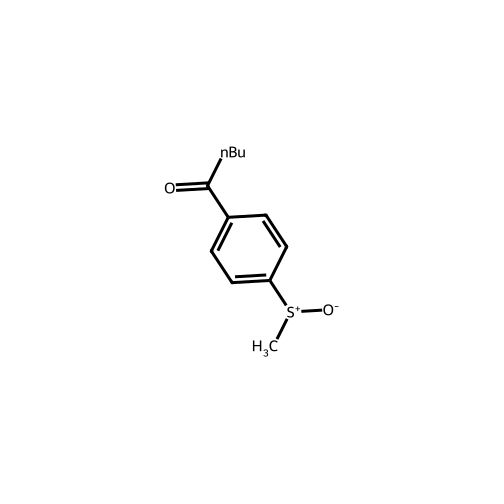 CCCCC(=O)c1ccc([S+](C)[O-])cc1